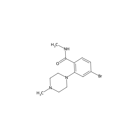 CNC(=O)c1ccc(Br)cc1N1CCN(C)CC1